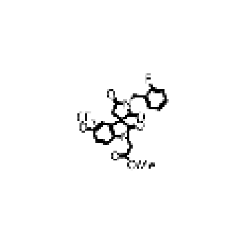 COC(=O)CN1C(=O)C2(CC(=O)N(Cc3ccccc3F)C2=O)c2cc(OC(F)(F)F)ccc21